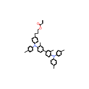 C=CC(=O)OCCCc1ccc(N(c2ccc(C)cc2)c2ccc(-c3ccc(N(c4ccc(C)cc4)c4ccc(C)cc4)c(C)c3)cc2C)cc1